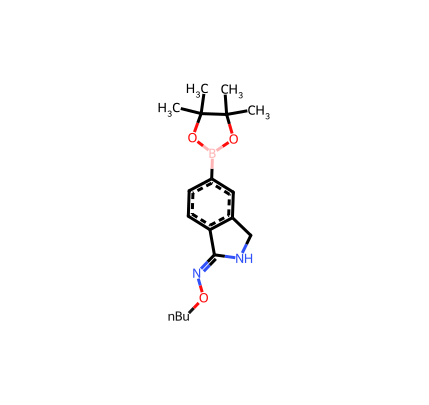 CCCCO/N=C1\NCc2cc(B3OC(C)(C)C(C)(C)O3)ccc21